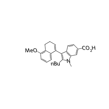 CCCCc1c(C2=CCCc3c(OC)cccc32)c2ccc(C(=O)O)cc2n1C